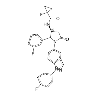 O=C1C[C@H](NC(=O)C2(F)CC2)C(c2cccc(F)c2)N1c1ccc2c(cnn2-c2ccc(F)cc2)c1